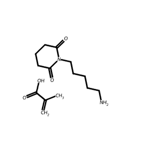 C=C(C)C(=O)O.NCCCCCN1C(=O)CCCC1=O